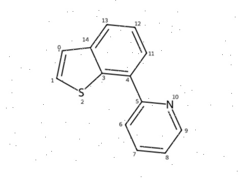 [c]1csc2c(-c3ccccn3)cccc12